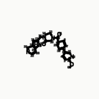 COc1ccc(-c2ccc(C(=O)N3CCN(Cc4cc5cnccc5[nH]4)C(=O)C3)cc2)cn1